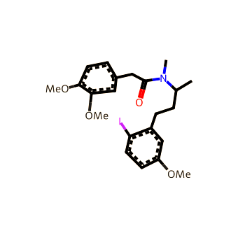 COc1ccc(I)c(CCC(C)N(C)C(=O)Cc2ccc(OC)c(OC)c2)c1